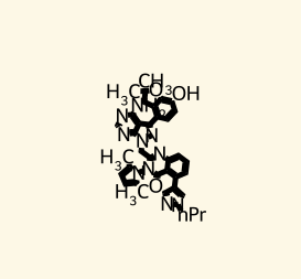 CCCn1cc(-c2cccc3nc(Cn4nc(-c5ccc(O)c6c5CC(C)(C)O6)c5c(N)ncnc54)n(-n4c(C)ccc4C)c(=O)c23)cn1